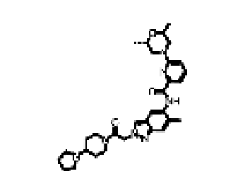 Cc1cc2nn(CC(=O)N3CCC(N4CCCC4)CC3)cc2cc1NC(=O)c1cccc(N2CC(C)O[C@@H](C)C2)n1